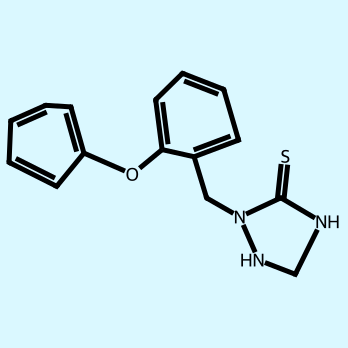 S=C1NCNN1Cc1ccccc1Oc1ccccc1